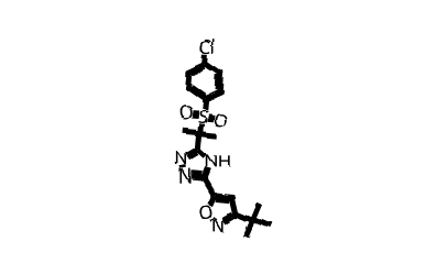 CC(C)(C)c1cc(-c2nnc(C(C)(C)S(=O)(=O)c3ccc(Cl)cc3)[nH]2)on1